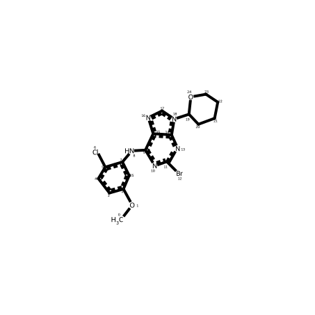 COc1ccc(Cl)c(Nc2nc(Br)nc3c2ncn3C2CCCCO2)c1